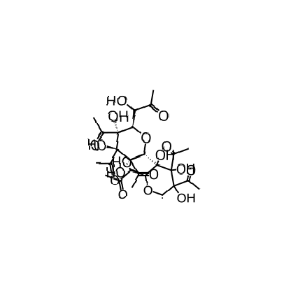 CC(=O)C(O)[C@H]1O[C@H](C2(O)[C@H](C(O)C(C)=O)O[CH]C(O)(C(C)=O)C2(O)C(C)=O)[C@@](O)(C(C)=O)[C@](O)(C(C)=O)[C@@]1(O)C(C)=O